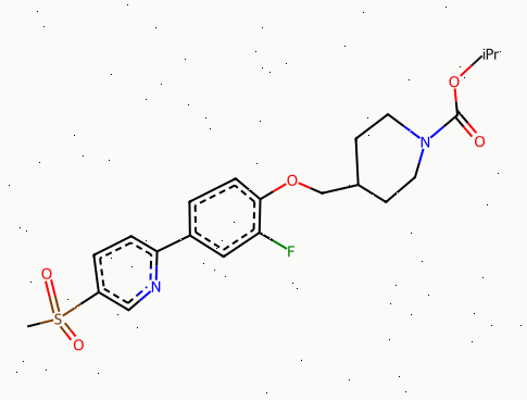 CC(C)OC(=O)N1CCC(COc2ccc(-c3ccc(S(C)(=O)=O)cn3)cc2F)CC1